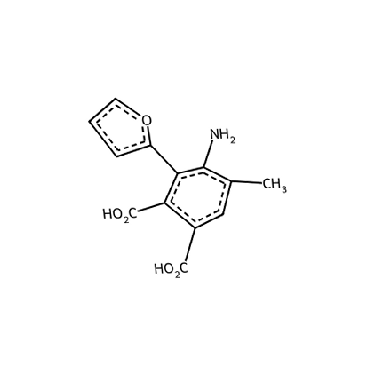 Cc1cc(C(=O)O)c(C(=O)O)c(-c2ccco2)c1N